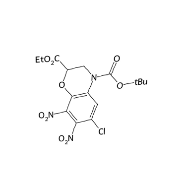 CCOC(=O)C1CN(C(=O)OC(C)(C)C)c2cc(Cl)c([N+](=O)[O-])c([N+](=O)[O-])c2O1